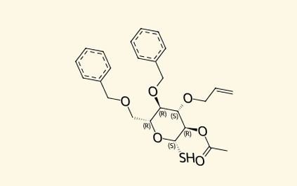 C=CCO[C@@H]1[C@@H](OC(C)=O)[C@H](S)O[C@H](COCc2ccccc2)[C@H]1OCc1ccccc1